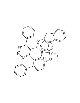 Cc1c(-c2c(-c3ccccc3)nnnc2-c2c(-c3ccccc3)ccc3oc4ccccc4c23)nc2c(c1C)-c1ccccc1C2